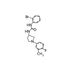 Cc1cc(N2CCC(NC(=O)Nc3ccccc3Br)C2)ccc1F